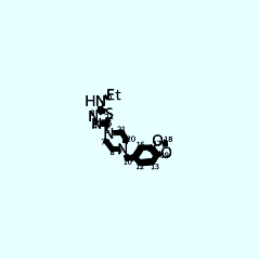 CCNc1nnc(N2CCN(Cc3ccc4c(c3)OCO4)CC2)s1